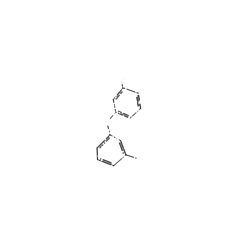 Oc1cccc(Nc2cccc(O)c2)c1